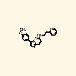 COc1ccc(-c2cnc3ccc(NCCc4ccccn4)nn23)cc1